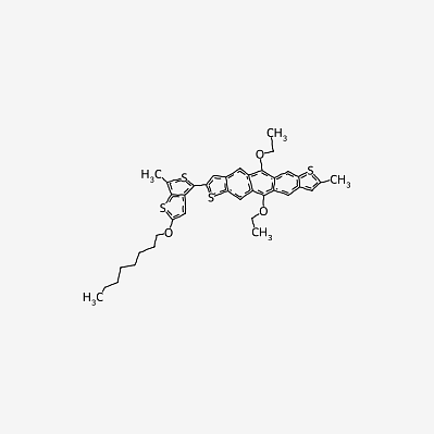 CCCCCCCCOc1cc2c(-c3cc4cc5c(OCC)c6cc7sc(C)cc7cc6c(OCC)c5cc4s3)sc(C)c2s1